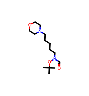 CC(C)(C)ON(C=O)CCCCCN1CCOCC1